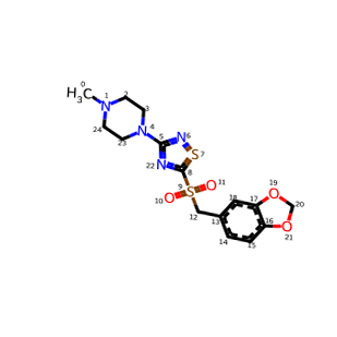 CN1CCN(c2nsc(S(=O)(=O)Cc3ccc4c(c3)OCO4)n2)CC1